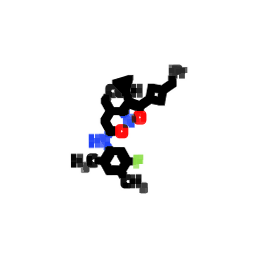 Cc1cc(C)c(NC(=O)CC(CC(=O)O)c2noc(C3CC(CC(C)C)C3)c2C2CC2)cc1F